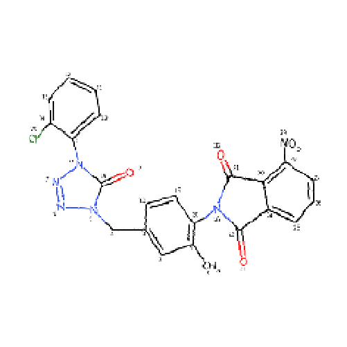 Cc1cc(Cn2nnn(-c3ccccc3Cl)c2=O)ccc1N1C(=O)c2cccc([N+](=O)[O-])c2C1=O